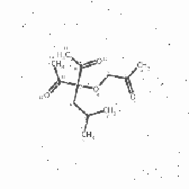 CC(=O)COC(CC(C)C)(C(C)=O)C(C)=O